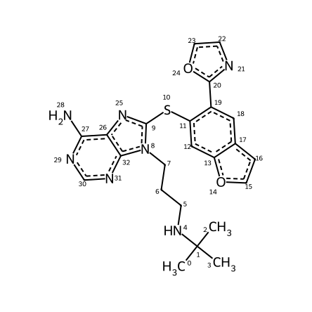 CC(C)(C)NCCCn1c(Sc2cc3occc3cc2-c2ncco2)nc2c(N)ncnc21